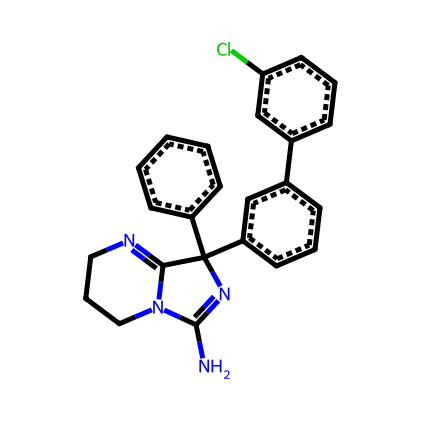 NC1=NC(c2ccccc2)(c2cccc(-c3cccc(Cl)c3)c2)C2=NCCCN12